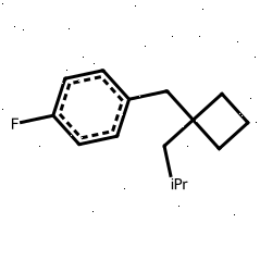 CC(C)CC1(Cc2ccc(F)cc2)CCC1